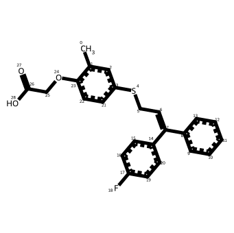 Cc1cc(SCC=C(c2ccccc2)c2ccc(F)cc2)ccc1OCC(=O)O